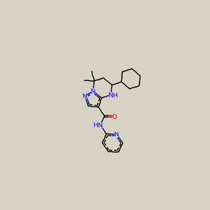 CC1(C)CC(C2CCCCC2)Nc2c(C(=O)Nc3ccccn3)cnn21